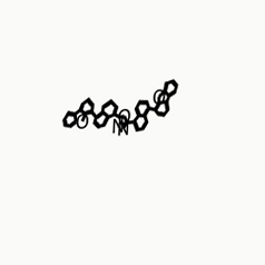 c1ccc2c(c1)oc1c(-c3cccc4c(-c5nnc(-c6cccc7c(-c8cccc9c8oc8ccccc89)cccc67)o5)cccc34)cccc12